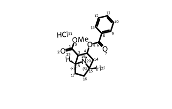 COC(=O)C1C(OC(=O)c2ccccc2)C[C@@H]2CC[C@H]1N2C.Cl